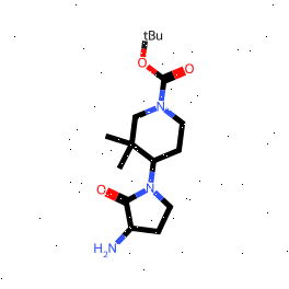 CC(C)(C)OC(=O)N1CCC(N2CCC(N)C2=O)C(C)(C)C1